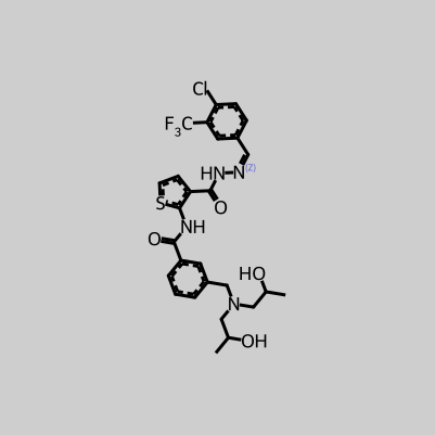 CC(O)CN(Cc1cccc(C(=O)Nc2sccc2C(=O)N/N=C\c2ccc(Cl)c(C(F)(F)F)c2)c1)CC(C)O